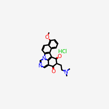 COc1cccc2c1ccc1c2c2c3c(cncn31)C(=O)C(CCN(C)C)C2=O.Cl